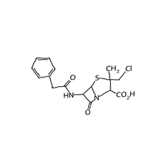 CC1(CCl)SC2C(NC(=O)Cc3ccccc3)C(=O)N2C1C(=O)O